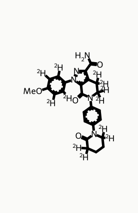 [2H]c1c([2H])c(-n2nc(C(N)=O)c3c2C(=O)N(c2ccc(N4C(=O)C([2H])([2H])CCC4([2H])[2H])cc2)C([2H])([2H])C3([2H])[2H])c([2H])c([2H])c1OC